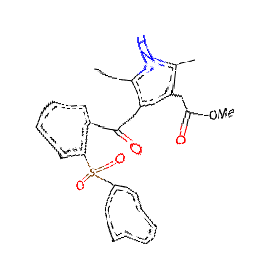 COC(=O)c1c(C)[nH]c(C)c1C(=O)c1ccccc1S(=O)(=O)c1ccccc1